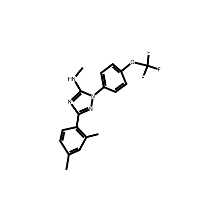 CNc1nc(-c2ccc(C)cc2C)nn1-c1ccc(OC(F)(F)F)cc1